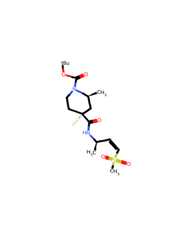 C[C@H](/C=C\S(C)(=O)=O)NC(=O)[C@@]1(F)CCN(C(=O)OC(C)(C)C)[C@@H](C)C1